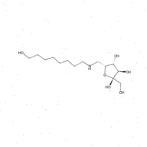 OCCCCCCCCNC[C@H]1O[C@@](O)(CO)[C@H](O)[C@H]1O